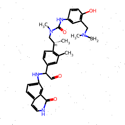 BN(C)Cc1cc(NC(=O)N(C)C[C@H](C)c2ccc(C(C=O)Nc3ccc4cc[nH]c(=O)c4c3)cc2C)ccc1O